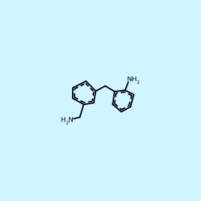 NCc1cccc(Cc2cc[c]cc2N)c1